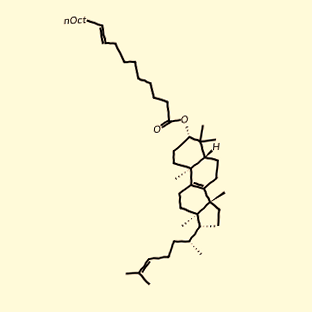 CCCCCCCC/C=C/CCCCCCCC(=O)O[C@H]1CC[C@]2(C)C3=C(CC[C@H]2C1(C)C)[C@]1(C)CC[C@H]([C@H](C)CCC=C(C)C)[C@@]1(C)CC3